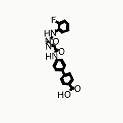 O=C(O)c1ccc(-c2ccc(NC(=O)c3nnc(Nc4ccccc4F)o3)cc2)cc1